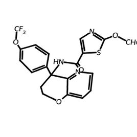 O=COc1ncc(C(=O)NC2(c3ccc(OC(F)(F)F)cc3)CCOc3cccnc32)s1